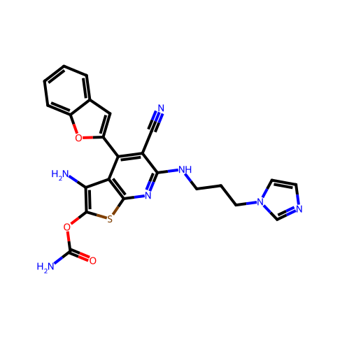 N#Cc1c(NCCCn2ccnc2)nc2sc(OC(N)=O)c(N)c2c1-c1cc2ccccc2o1